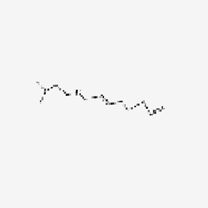 C=CCCCC=CCOCCC(C)C